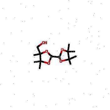 CC1(C)OB(B2OC(C)(C)C(C)(CO)O2)OC1(C)C